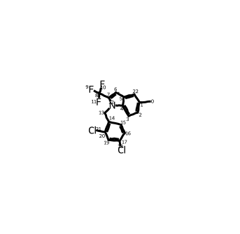 Cc1ccc2c([c]c(C(F)(F)F)n2Cc2ccc(Cl)cc2Cl)c1